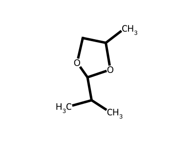 CC1COC(C(C)C)O1